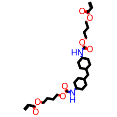 C=CC(=O)OCCCCOC(=O)NC1CCC(CC2CCC(NC(=O)OCCCCOC(=O)C=C)CC2)CC1